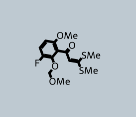 COCOc1c(F)ccc(OC)c1C(=O)C=C(SC)SC